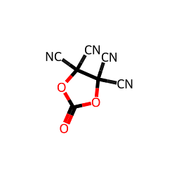 N#CC1(C#N)OC(=O)OC1(C#N)C#N